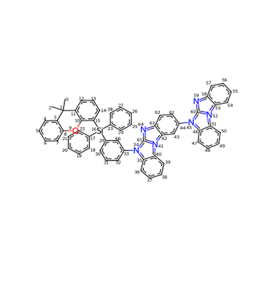 CC1(C)c2ccccc2Oc2c1cccc2[Si](c1ccccc1)(c1ccccc1)c1cccc(-n2c3ccccc3n3c4cc(-n5c6ccccc6n6c7ccccc7nc56)ccc4nc23)c1